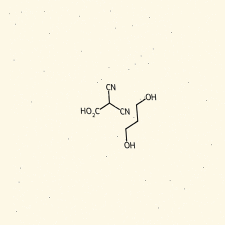 N#CC(C#N)C(=O)O.OCCCO